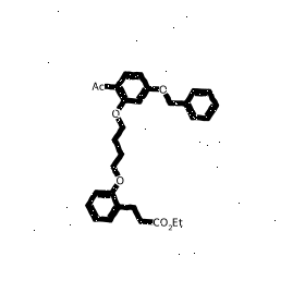 CCOC(=O)CCc1ccccc1OCCCCOc1cc(OCc2ccccc2)ccc1C(C)=O